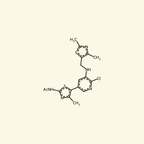 CC(=O)Nc1nc(C)c(-c2cnc(Cl)c(NCc3sc(C)nc3C)c2)s1